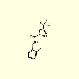 O=C(NCc1ccccc1F)c1cc(C(F)(F)F)n[nH]1